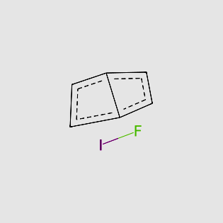 FI.c1cc2ccc1-2